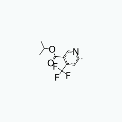 CC(C)OC(=O)c1cn[c]cc1C(F)(F)F